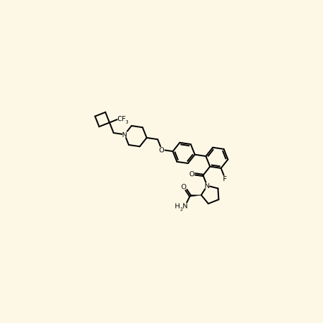 NC(=O)[C@@H]1CCCN1C(=O)c1c(F)cccc1-c1ccc(OCC2CCN(CC3(C(F)(F)F)CCC3)CC2)cc1